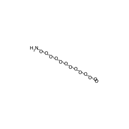 COOCCOCCOCCOCCOCCOCCOCCOCCOCCOCCOCCOCCN